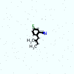 C=C(CC)Cc1ccc(F)cc1C#N